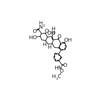 CONC(=O)c1cccc(-c2ccc(O)c3c2C[C@H]2C[C@H]4CC(O)C(C(N)=O)C(=O)[C@@]4(O)C(O)=C2C3=O)c1